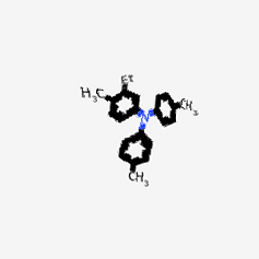 CCc1cc(N(c2ccc(C)cc2)c2ccc(C)cc2)ccc1C